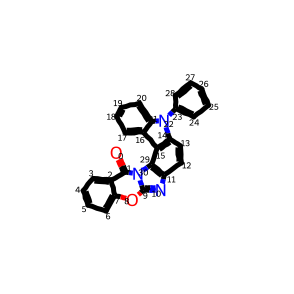 O=c1c2ccccc2oc2nc3ccc4c(c5ccccc5n4-c4ccccc4)c3n12